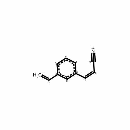 C=Cc1cccc(/C=C\C#N)c1